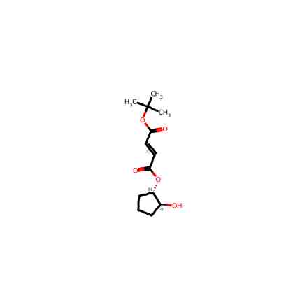 CC(C)(C)OC(=O)/C=C/C(=O)O[C@H]1CCC[C@@H]1O